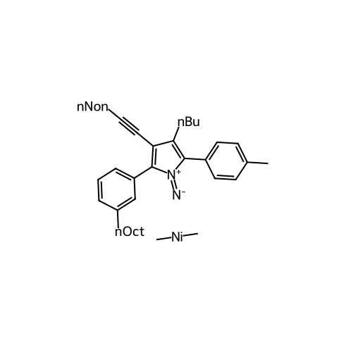 CCCCCCCCCC#CC1=C(c2cccc(CCCCCCCC)c2)[N+](=[N-])C(c2ccc(C)cc2)=C1CCCC.[CH3][Ni][CH3]